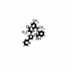 Cc1cc([C@@H](C)Nc2ccccc2C(=O)O)c2nc(N3CCC(c4ccccn4)C3)c(C)c(=O)n2c1